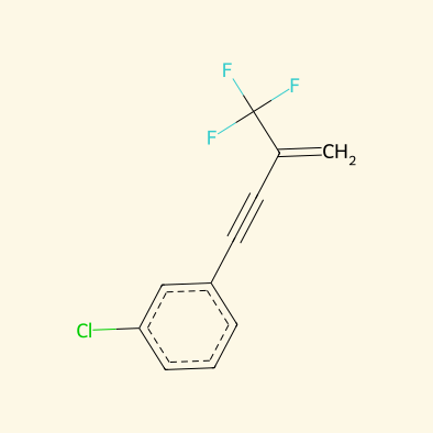 C=C(C#Cc1cccc(Cl)c1)C(F)(F)F